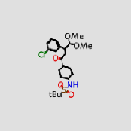 COC(OC)C(CC(=O)[C@H]1CC[C@H](NS(=O)(=O)C(C)(C)C)CC1)c1cccc(Cl)c1